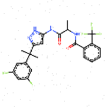 CC(NC(=O)c1ccccc1C(F)(F)F)C(=O)Nc1cc(C(C)(C)c2cc(F)cc(F)c2)n[nH]1